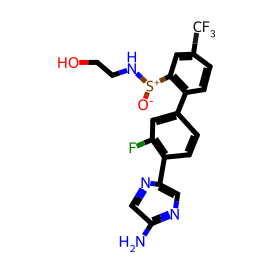 Nc1cnc(-c2ccc(-c3ccc(C(F)(F)F)cc3[S+]([O-])NCCO)cc2F)cn1